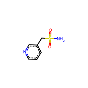 NS(=O)(=O)Cc1cccnc1